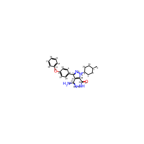 C[C@H]1CC[C@@H](n2nc(-c3ccc(Oc4ccccc4)cc3)c3c(N)n[nH]c(=O)c32)CC1